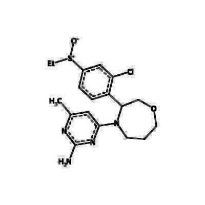 CC[S+]([O-])c1ccc(C2COCCCN2c2cc(C)nc(N)n2)c(Cl)c1